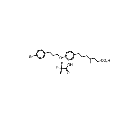 O=C(O)C(F)(F)F.O=C(O)CCNCCCc1ccc(OCCCc2ccc(Br)cc2)cc1